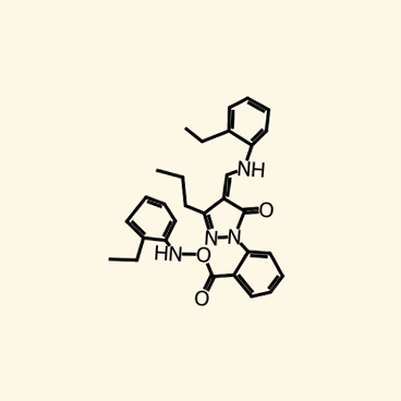 CCCC1=NN(c2ccccc2C(=O)ONc2ccccc2CC)C(=O)C1=CNc1ccccc1CC